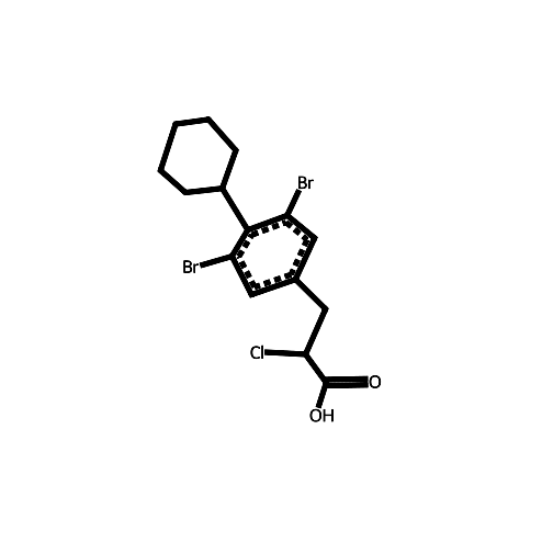 O=C(O)C(Cl)Cc1cc(Br)c(C2CCCCC2)c(Br)c1